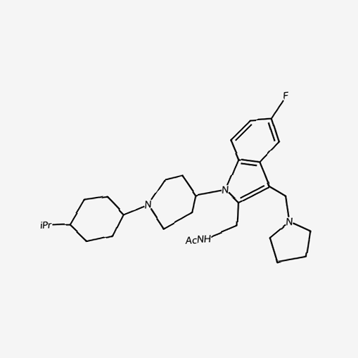 CC(=O)NCc1c(CN2CCCC2)c2cc(F)ccc2n1C1CCN(C2CCC(C(C)C)CC2)CC1